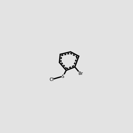 ClSc1ccccc1Br